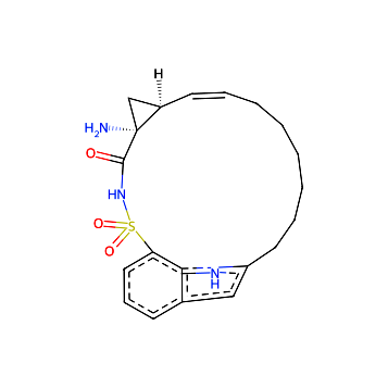 N[C@]12C[C@H]1/C=C\CCCCCCc1cc3cccc(c3[nH]1)S(=O)(=O)NC2=O